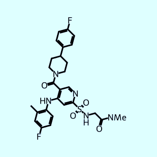 CNC(=O)CNS(=O)(=O)c1cc(Nc2ccc(F)cc2C)c(C(=O)N2CCC(c3ccc(F)cc3)CC2)cn1